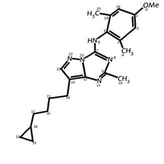 COc1cc(C)c(Nc2nc(C)nc3c(CCCCC4CC4)cnn23)c(C)c1